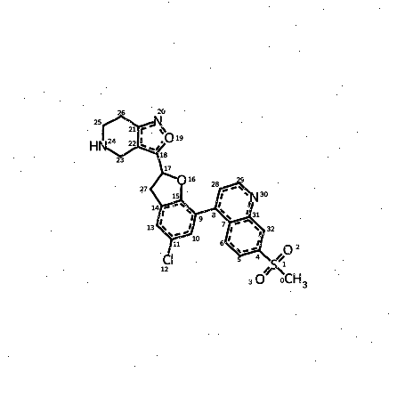 CS(=O)(=O)c1ccc2c(-c3cc(Cl)cc4c3OC(c3onc5c3CNCC5)C4)ccnc2c1